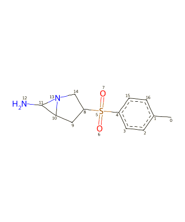 Cc1ccc(S(=O)(=O)C2CC3C(N)N3C2)cc1